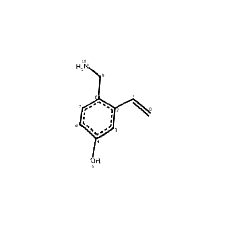 C=Cc1cc(O)ccc1CN